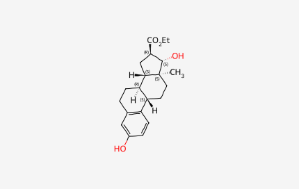 CCOC(=O)[C@@H]1C[C@H]2[C@@H]3CCc4cc(O)ccc4[C@H]3CC[C@]2(C)[C@H]1O